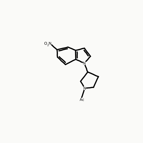 CC(=O)N1CCC(n2ccc3cc([N+](=O)[O-])ccc32)C1